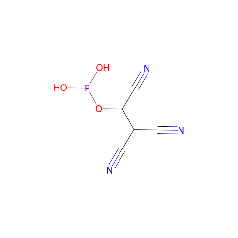 N#CC(C#N)C(C#N)OP(O)O